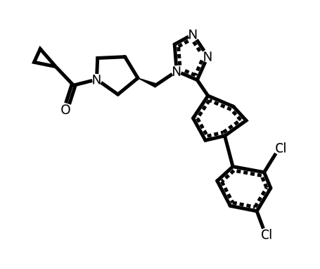 O=C(C1CC1)N1CC[C@@H](Cn2cnnc2-c2ccc(-c3ccc(Cl)cc3Cl)cc2)C1